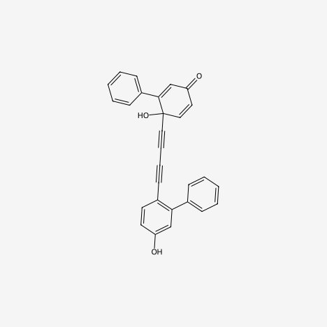 O=C1C=CC(O)(C#CC#Cc2ccc(O)cc2-c2ccccc2)C(c2ccccc2)=C1